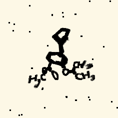 COC(=O)c1ccc(C2=CCCC2)cc1OC(C)C